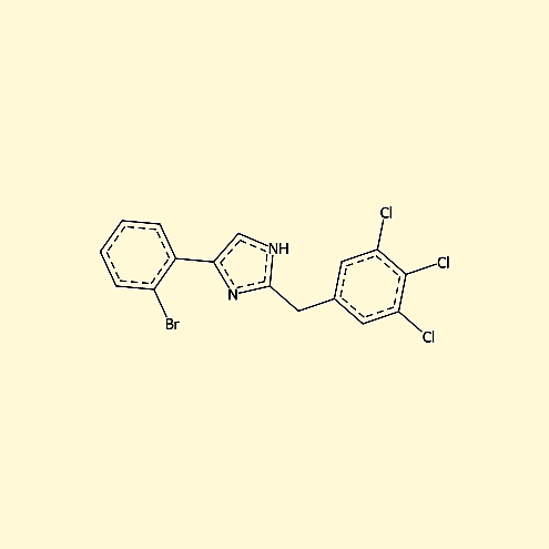 Clc1cc(Cc2nc(-c3ccccc3Br)c[nH]2)cc(Cl)c1Cl